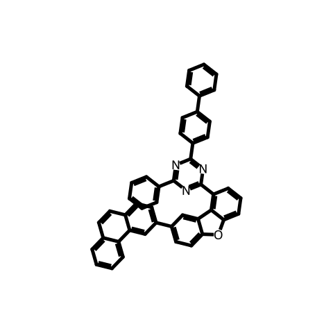 c1ccc(-c2ccc(-c3nc(-c4ccccc4)nc(-c4cccc5oc6ccc(-c7ccc8ccc9ccccc9c8c7)cc6c45)n3)cc2)cc1